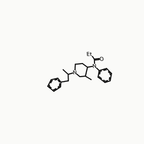 CCC(=O)N(c1ccccc1)C1CCN(C(C)Cc2ccccc2)CC1C